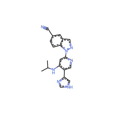 CC(C)Nc1cc(-n2ncc3cc(C#N)ccc32)ncc1-c1c[nH]cn1